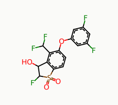 O=S1(=O)c2ccc(Oc3cc(F)cc(F)c3)c(C(F)F)c2C(O)C1F